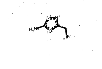 CC(C)Cc1nnc(N)o1